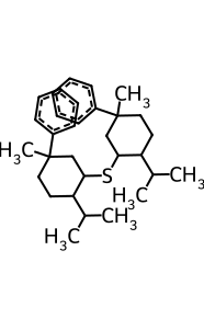 CC(C)C1CCC(C)(c2ccccc2)CC1SC1CC(C)(c2ccccc2)CCC1C(C)C